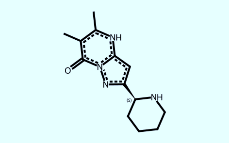 Cc1[nH]c2cc([C@@H]3CCCCN3)nn2c(=O)c1C